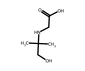 CC(C)(CO)NCC(=O)O